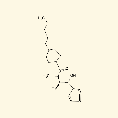 CCCCCC1CCC(C(=O)N(C)[C@H](C)[C@H](O)c2ccccc2)CC1